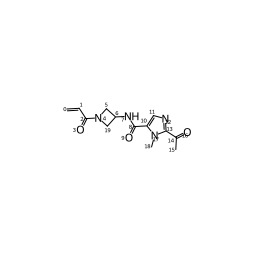 C=CC(=O)N1CC(NC(=O)c2cnc(C(C)=O)n2C)C1